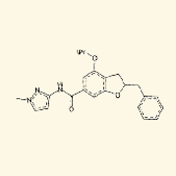 CC(C)Oc1cc(C(=O)Nc2ccn(C)n2)cc2c1CC(Cc1ccccc1)O2